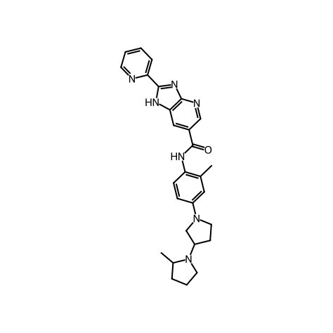 Cc1cc(N2CCC(N3CCCC3C)C2)ccc1NC(=O)c1cnc2nc(-c3ccccn3)[nH]c2c1